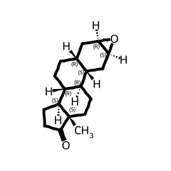 C[C@]12CC[C@H]3[C@@H](CC[C@@H]4C[C@H]5O[C@H]5C[C@@H]43)[C@@H]1CCC2=O